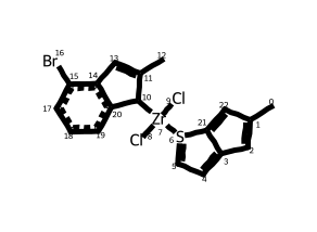 CC1=CC2=CC=[S]([Zr]([Cl])([Cl])[CH]3C(C)=Cc4c(Br)cccc43)C2=C1